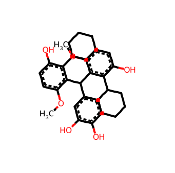 COc1ccc(O)c(C2CCCCC2)c1C(c1ccc(O)c(O)c1)c1c(OC)ccc(O)c1C1CCCCC1